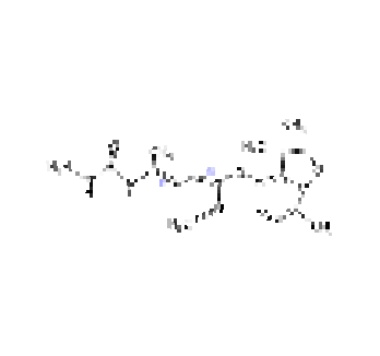 C=N/C(=C\C=C(/C)NC(=O)NN)Oc1ccc(C)c2c1C(C)(C)CO2